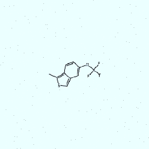 [CH2]c1scc2cc(OC(F)(F)F)ccc12